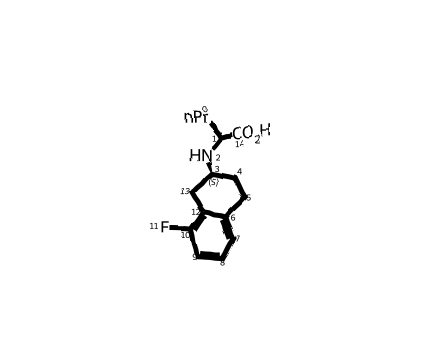 CCCC(N[C@H]1CCc2cccc(F)c2C1)C(=O)O